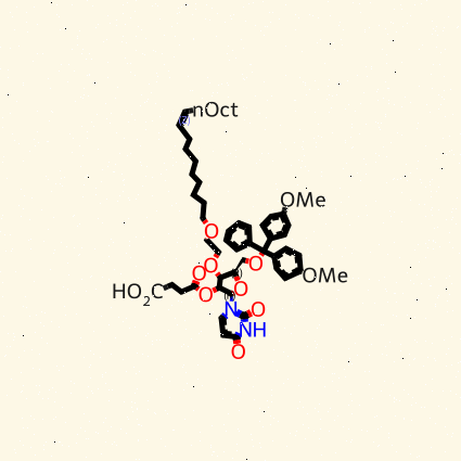 CCCCCCCC/C=C\CCCCCCCCOCCOC1C(OC(=O)CCC(=O)O)[C@H](n2ccc(=O)[nH]c2=O)O[C@@H]1COC(c1ccccc1)(c1ccc(OC)cc1)c1ccc(OC)cc1